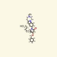 CC(C)N1CCc2cc3cc(-n4ccc(OCc5ccccc5)cc4=O)ccc3n2CC1.O=C(O)C=CC(=O)O